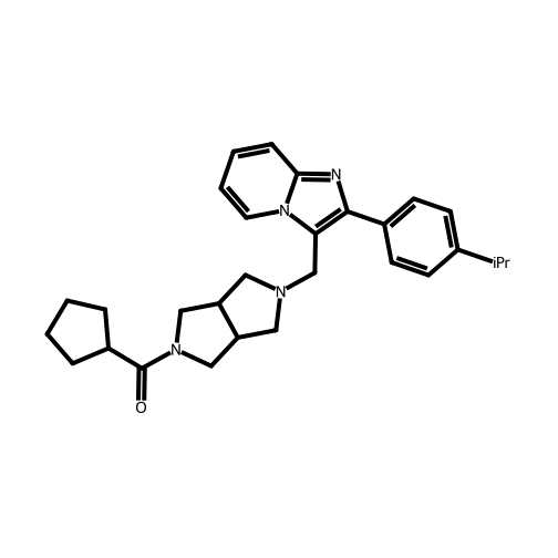 CC(C)c1ccc(-c2nc3ccccn3c2CN2CC3CN(C(=O)C4CCCC4)CC3C2)cc1